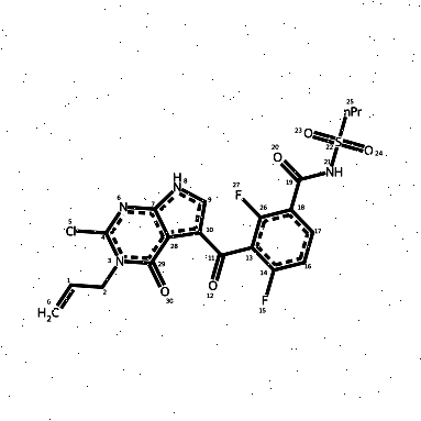 C=CCn1c(Cl)nc2[nH]cc(C(=O)c3c(F)ccc(C(=O)NS(=O)(=O)CCC)c3F)c2c1=O